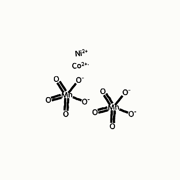 [Co+2].[Ni+2].[O]=[Mn](=[O])(=[O])([O-])[O-].[O]=[Mn](=[O])(=[O])([O-])[O-]